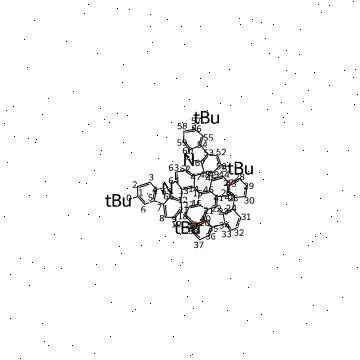 CC(C)(C)c1ccc2c(c1)c1cc(C(C)(C)C)cc3c4c(-c5c6ccccc6c(-c6c(-c7ccccc7)cccc6-c6ccccc6)c6ccccc56)c5c6cc(C(C)(C)C)cc7c8cc(C(C)(C)C)ccc8n(c5cc4n2c13)c76